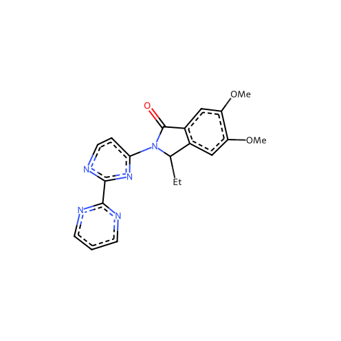 CCC1c2cc(OC)c(OC)cc2C(=O)N1c1ccnc(-c2ncccn2)n1